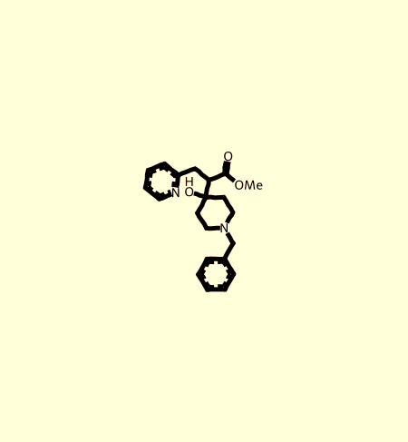 COC(=O)C(Cc1ccccn1)C1(O)CCN(Cc2ccccc2)CC1